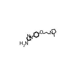 CC1CCCN1CCCOc1ccc(-n2cc(N)cn2)cc1